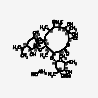 CC[C@H]1OC(=O)[C@H](C)[C@@H](O[C@H]2C[C@@](C)(OC)[C@@H](O)[C@H](C)O2)[C@H](C)[C@@H](O[C@@H]2O[C@H](C)C[C@H](N(C)C)[C@H]2O)[C@](C)(O)C[C@@H](C)C(=O)[C@H](C)[C@@H](O)[C@]1(C)O.Cl.[AlH3]